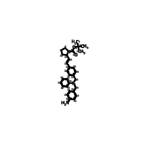 CC(C)(C)OC(=O)N1CCCC1C=Cc1ccc(CN(Cc2ccc(N)cc2)c2ccccc2)cc1